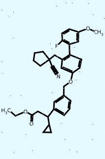 CCOC(=O)CC(c1cccc(COc2ccc(-c3cc(OC)ccc3F)c(CC3(C#N)CCCC3)c2)c1)C1CC1